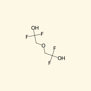 OC(F)(F)COCC(O)(F)F